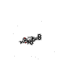 CN(C)CCN(Cc1ccc(-c2cccc3c(CCCOc4cccc5ccccc45)c(C(=O)O)[nH]c23)s1)c1ccccn1